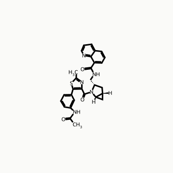 CC(=O)Nc1cccc(-c2sc(C)nc2C(=O)N2[C@H](CNC(=O)c3cccc4cccnc34)C[C@@H]3C[C@@H]32)c1